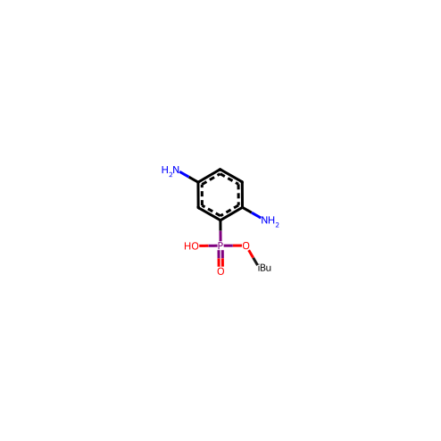 CCC(C)OP(=O)(O)c1cc(N)ccc1N